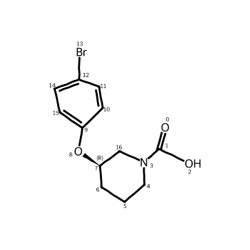 O=C(O)N1CCC[C@@H](Oc2ccc(Br)cc2)C1